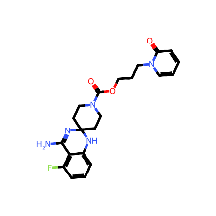 NC1=NC2(CCN(C(=O)OCCCn3ccccc3=O)CC2)Nc2cccc(F)c21